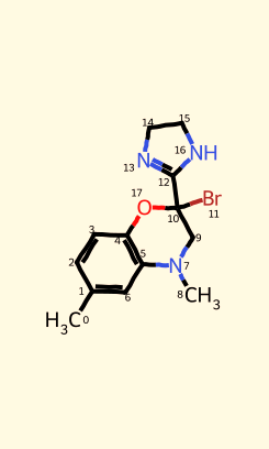 Cc1ccc2c(c1)N(C)CC(Br)(C1=NCCN1)O2